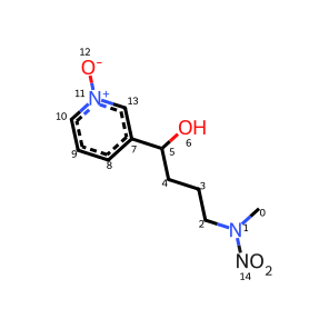 CN(CCCC(O)c1ccc[n+]([O-])c1)[N+](=O)[O-]